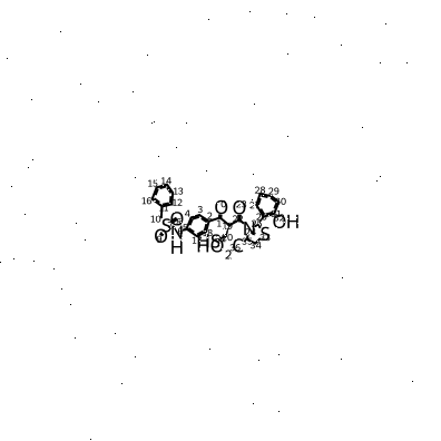 O=C(c1ccc(NS(=O)(=O)Cc2ccccc2)cc1)[C@H](CS)C(=O)N1[C@@H](c2ccccc2O)SC[C@H]1C(=O)O